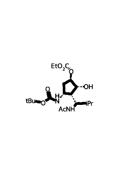 CCOC(=O)O[C@@H]1C[C@@H](NC(=O)OC(C)(C)C)[C@@H](C(NC(C)=O)C(C)C)[C@H]1O